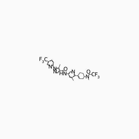 Cc1cc(NC(=O)c2cnn(-c3ccc(C(F)(F)F)cn3)c2C)cnc1C1=CCC(N(C)C(=O)C(F)(F)F)CC1